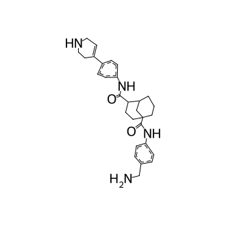 NCc1ccc(NC(=O)C23CCCC(C2)C(C(=O)Nc2ccc(C4=CCNCC4)cc2)CC3)cc1